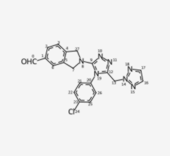 O=Cc1ccc2c(c1)CN(c1nnc(Cn3nccn3)n1-c1ccc(Cl)cc1)C2